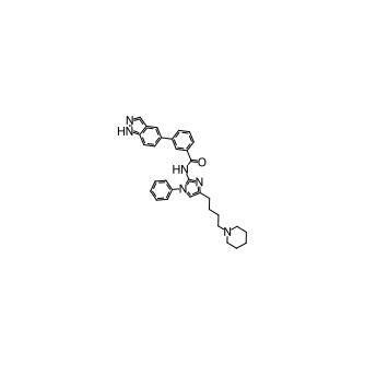 O=C(Nc1nc(CCCCN2CCCCC2)cn1-c1ccccc1)c1cccc(-c2ccc3[nH]ncc3c2)c1